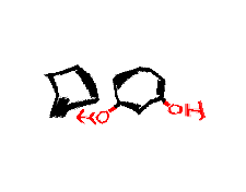 C1=CCC=C1.Oc1cccc(O)c1